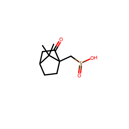 CC1(C)C2CCC1(CS(=O)O)C(=O)C2